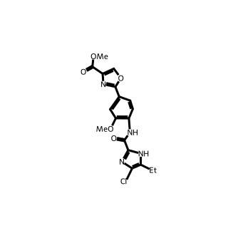 CCc1[nH]c(C(=O)Nc2ccc(-c3nc(C(=O)OC)co3)cc2OC)nc1Cl